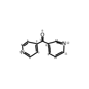 O=C(c1ccncc1)c1cccnc1